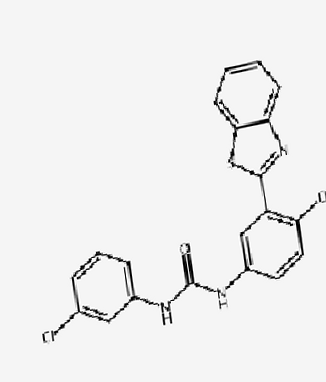 O=C(Nc1cccc(Cl)c1)Nc1ccc(O)c(-c2nc3ccccc3s2)c1